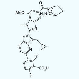 COc1cc(C(=O)N2CC3CCC2C3N)cc2nc(-c3cc4ccc(-c5ccc(F)c(C(=O)O)c5F)nc4n3CC3CC3)n(C)c12